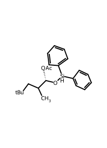 CC(=O)O[C@H](O[SiH](c1ccccc1)c1ccccc1)C(C)CC(C)(C)C